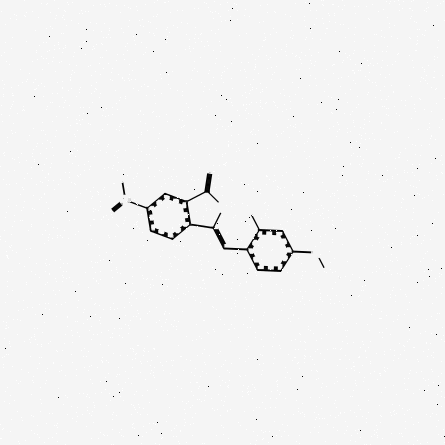 COc1ccc(C=C2OC(=O)c3cc([N+](=O)[O-])ccc32)c(C)c1